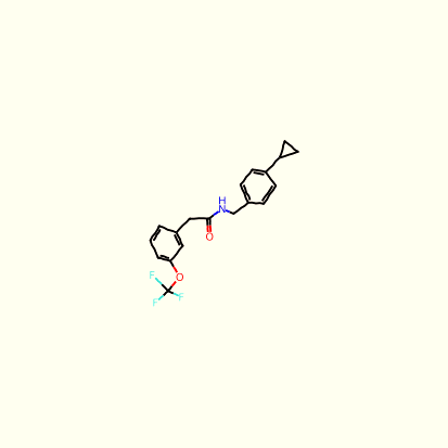 O=C(Cc1cccc(OC(F)(F)F)c1)NCc1ccc(C2CC2)cc1